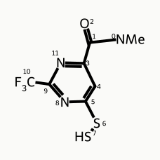 CNC(=O)c1cc(SS)nc(C(F)(F)F)n1